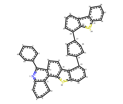 c1ccc(-c2nc3ccccc3c3c2ccc2c3sc3cccc(-c4ccc(-c5cccc6c5sc5ccccc56)cc4)c32)cc1